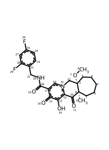 CO[C@]12CCCCC[C@@]1(C)C(=O)c1c(O)c(=O)c(C(=O)NCc3ccc(F)cc3F)cn1C2